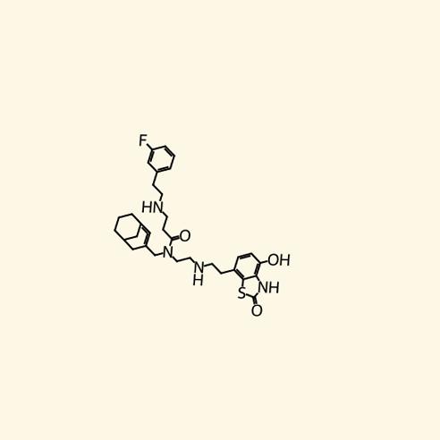 O=C(CCNCCc1cccc(F)c1)N(CCNCCc1ccc(O)c2[nH]c(=O)sc12)CC1=C=C2CCCC(C2)C1